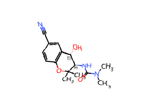 CN(C)C(=O)N[C@@H]1[C@@H](O)c2cc(C#N)ccc2OC1(C)C